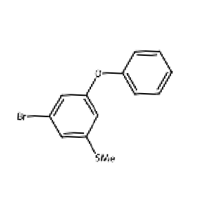 CSc1cc(Br)cc(Oc2ccccc2)c1